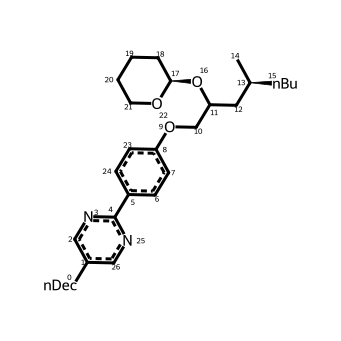 CCCCCCCCCCc1cnc(-c2ccc(OCC(C[C@@H](C)CCCC)O[C@@H]3CCCCO3)cc2)nc1